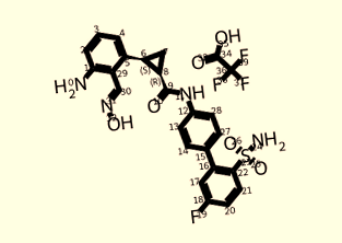 Nc1cccc([C@H]2C[C@H]2C(=O)Nc2ccc(-c3cc(F)ccc3S(N)(=O)=O)cc2)c1C=NO.O=C(O)C(F)(F)F